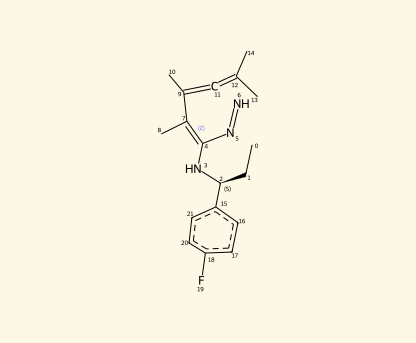 CC[C@H](N/C(N=N)=C(\C)C(C)=C=C(C)C)c1ccc(F)cc1